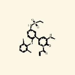 C=CC(=O)n1cc(-c2cc(NS(=O)(=O)CC)ccc2Oc2c(C)cccc2C)cc(NC)c1=O